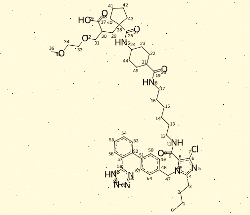 CCCCc1nc(Cl)c(C(=O)NCCCCCCNC(=O)C2CCC(NC(=O)C3(CC(COCCOC)C(=O)O)CCCC3)CC2)n1Cc1ccc(-c2ccccc2-c2nnn[nH]2)cc1